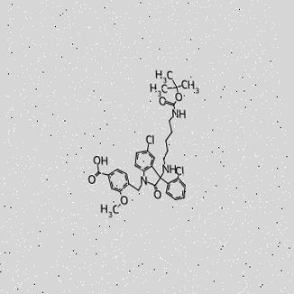 COc1cc(C(=O)O)ccc1CN1C(=O)C(NCCCCCNC(=O)OC(C)(C)C)(c2ccccc2Cl)c2cc(Cl)ccc21